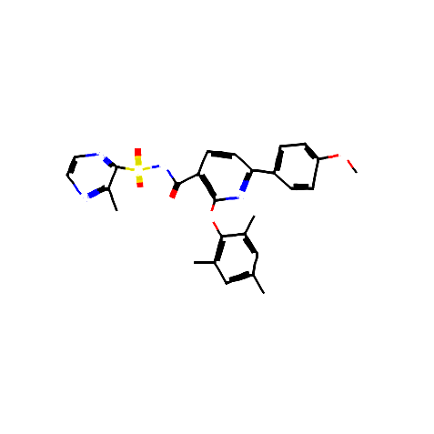 CCOc1ccc(-c2ccc(C(=O)NS(=O)(=O)c3nccnc3C)c(Oc3c(C)cc(C)cc3C)n2)cc1